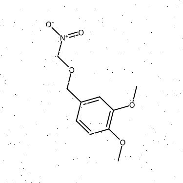 COc1ccc(CO[CH][N+](=O)[O-])cc1OC